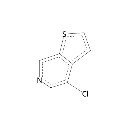 Clc1cncc2sccc12